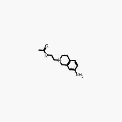 CC(=O)OCCN1CCc2ccc(N)cc2C1